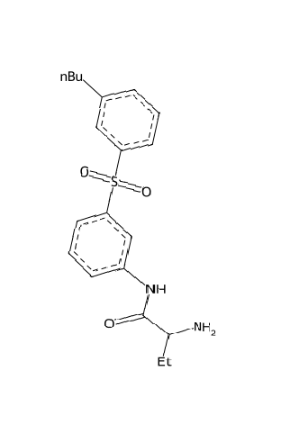 CCCCc1cccc(S(=O)(=O)c2cccc(NC(=O)C(N)CC)c2)c1